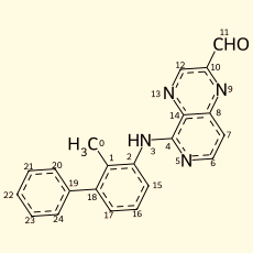 Cc1c(Nc2nccc3nc(C=O)cnc23)cccc1-c1ccccc1